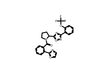 O=C(c1ccccc1-c1ncco1)N1CCCC1c1nc(-c2ccccc2OC(F)(F)F)no1